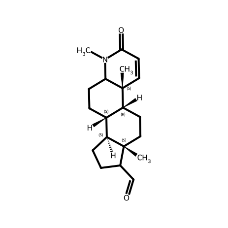 CN1C(=O)C=C[C@@]2(C)C1CC[C@@H]1[C@H]2CC[C@]2(C)C(C=O)CC[C@@H]12